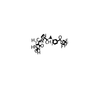 C=C(c1nccn1/N=C(\C)c1c[nH]c(=O)[nH]c1=O)[C@H]1C[C@@H]1c1cccc(C(=O)N2CC(F)(F)C(F)(F)C2)c1